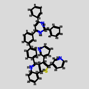 c1ccc(-c2cc(-c3cccc(-c4ccc(-c5nc6ccccc6c6sc(-c7cccnc7)c(-c7cccnc7)c56)cc4)c3)nc(-c3ccccc3)n2)cc1